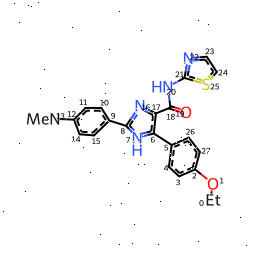 CCOc1ccc(-c2[nH]c(-c3ccc(NC)cc3)nc2C(=O)Nc2nccs2)cc1